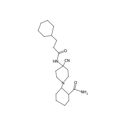 N#CC1(NC(=O)[CH]CC2CCCCC2)CCN(C2CCCCC2C(N)=O)CC1